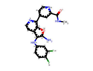 CNC(=O)c1cc(-c2nccc3c(Nc4ccc(F)c(F)c4)c(N)oc23)ccn1